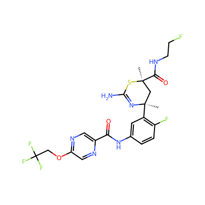 C[C@]1(C(=O)NCCF)C[C@@](C)(c2cc(NC(=O)c3cnc(OCC(F)(F)F)cn3)ccc2F)N=C(N)S1